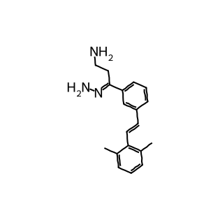 Cc1cccc(C)c1C=Cc1cccc(C(CCN)=NN)c1